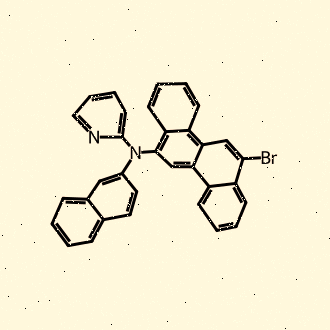 Brc1cc2c3ccccc3c(N(c3ccc4ccccc4c3)c3ccccn3)cc2c2ccccc12